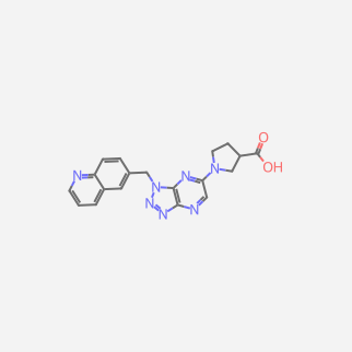 O=C(O)C1CCN(c2cnc3nnn(Cc4ccc5ncccc5c4)c3n2)C1